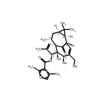 CC1=C[C@]23C(=O)[C@@H](C=C(CO)[C@@H](O)[C@]2(O)[C@H]1OC(=O)c1c(C)coc1C)[C@H]1[C@@H](C[C@H]3C)C1(C)C